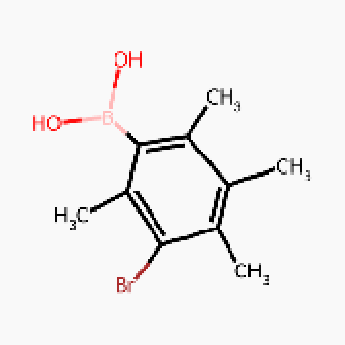 Cc1c(C)c(Br)c(C)c(B(O)O)c1C